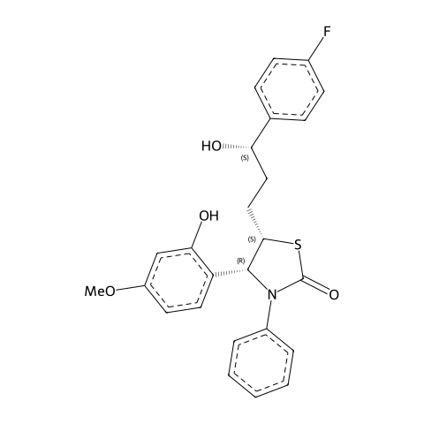 COc1ccc([C@@H]2[C@H](CC[C@H](O)c3ccc(F)cc3)SC(=O)N2c2ccccc2)c(O)c1